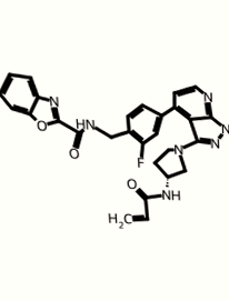 C=CC(=O)N[C@@H]1CCN(c2n[nH]c3nccc(-c4ccc(CNC(=O)c5nc6ccccc6o5)c(F)c4)c23)C1